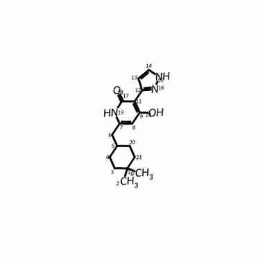 CC1(C)CCC(Cc2cc(O)c(-c3cc[nH]n3)c(=O)[nH]2)CC1